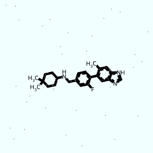 Cc1cc2[nH]cnc2cc1-c1ccc(CNC2CCC(C)(C)CC2)cc1F